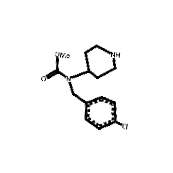 COC(=O)N(Cc1ccc(Cl)cc1)C1CCNCC1